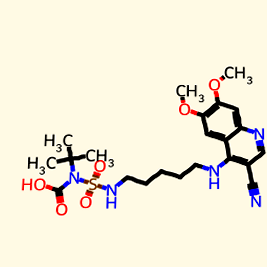 COc1cc2ncc(C#N)c(NCCCCCNS(=O)(=O)N(C(=O)O)C(C)(C)C)c2cc1OC